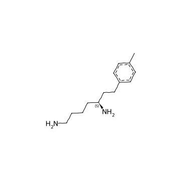 Cc1ccc(CC[C@@H](N)CCCCN)cc1